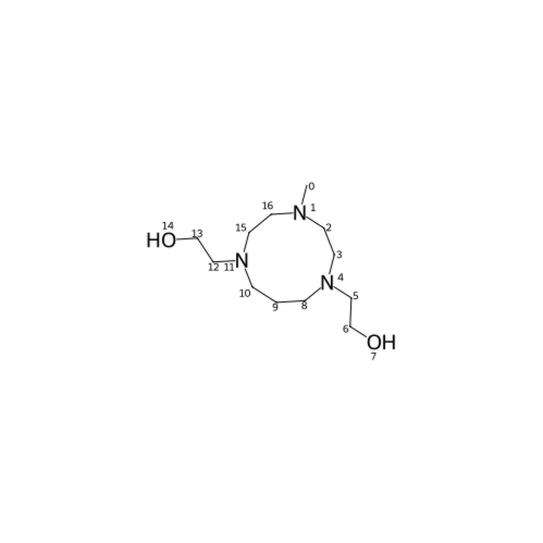 CN1CCN(CCO)CCCN(CCO)CC1